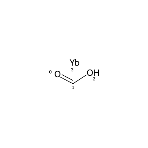 O=CO.[Yb]